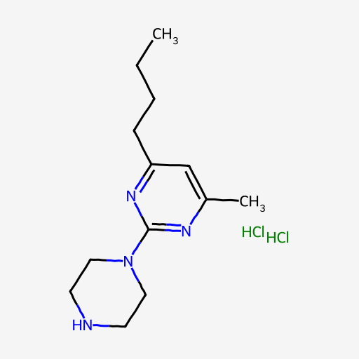 CCCCc1cc(C)nc(N2CCNCC2)n1.Cl.Cl